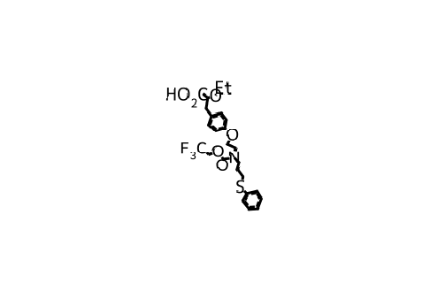 CCOC(Cc1ccc(OCCN(CCCSc2ccccc2)C(=O)OCC(F)(F)F)cc1)C(=O)O